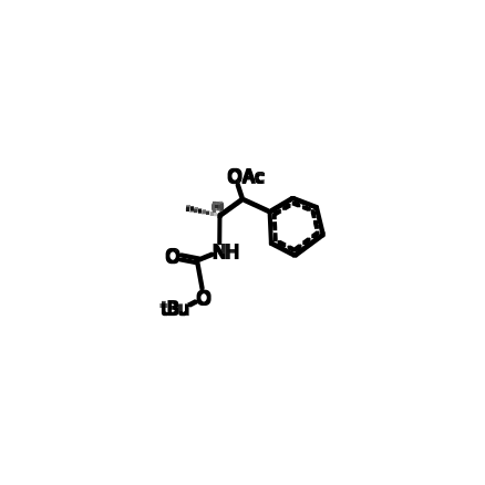 CC(=O)OC(c1ccccc1)[C@@H](C)NC(=O)OC(C)(C)C